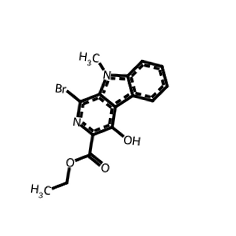 CCOC(=O)c1nc(Br)c2c(c1O)c1ccccc1n2C